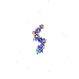 N#CCC1(n2cc(C(F)(F)F)cn2)CN(c2cccn3nc(Nc4ccc(C(=O)N5CCN(C6COC6)CC5)cc4)nc23)C1